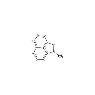 PC1Cc2cccc3cccc1c23